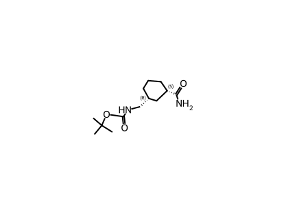 CC(C)(C)OC(=O)NC[C@@H]1CCC[C@H](C(N)=O)C1